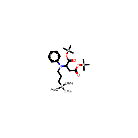 CO[Si](CCCN(c1ccccc1)C(CC(=O)O[Si](C)(C)C)C(=O)O[Si](C)(C)C)(OC)OC